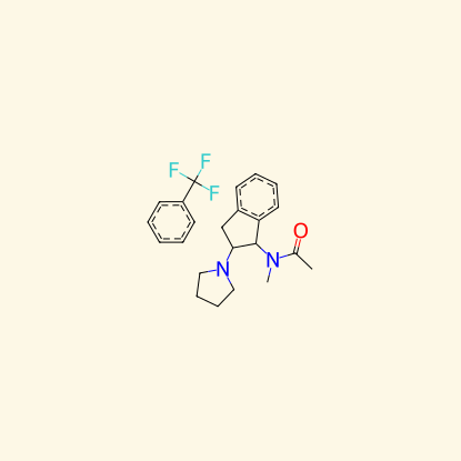 CC(=O)N(C)C1c2ccccc2CC1N1CCCC1.FC(F)(F)c1ccccc1